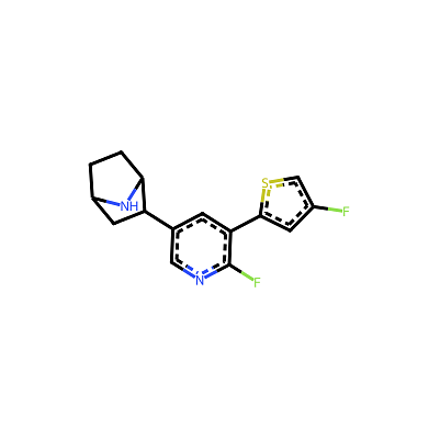 Fc1csc(-c2cc(C3CC4CCC3N4)cnc2F)c1